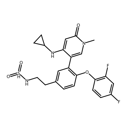 Cn1cc(-c2cc(CCN[SH](=O)=O)ccc2Oc2ccc(F)cc2F)c(NC2CC2)cc1=O